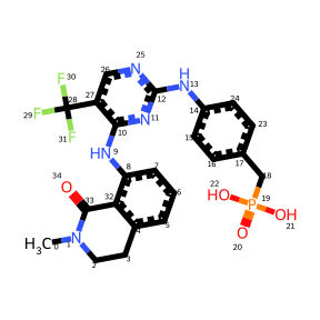 CN1CCc2cccc(Nc3nc(Nc4ccc(CP(=O)(O)O)cc4)ncc3C(F)(F)F)c2C1=O